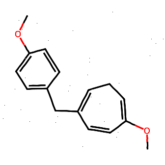 COC1=CCC=C(Cc2ccc(OC)cc2)C=C1